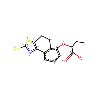 CCC(Oc1cccc2c1CCc1sc(S)nc1-2)C(=O)O